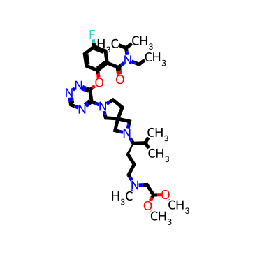 CCN(C(=O)c1cc(F)ccc1Oc1nncnc1N1CCC2(C1)CN([C@H](CCCN(C)CC(OC)OC)C(C)C)C2)C(C)C